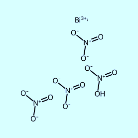 O=[N+]([O-])O.O=[N+]([O-])[O-].O=[N+]([O-])[O-].O=[N+]([O-])[O-].[Bi+3]